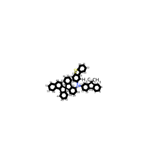 CC1(C)c2ccccc2-c2ccc(N(c3ccc4sc5ccccc5c4c3)c3cccc4c3-c3ccccc3C43c4ccccc4-c4c3ccc3ccccc43)cc21